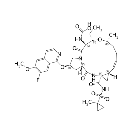 CC[C@@H]1O[C@H](C)CCC=C[C@@H]2C[C@@]2(C(=O)NS(=O)(=O)C2(C)CC2)NC(=O)[C@@H]2C[C@@H](Oc3nccc4cc(OC)c(F)cc34)CN2C(=O)[C@H]1NC(=O)O